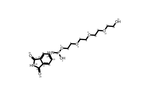 NP(O)OCCOCCOCCOCCO.O=C1NC(=O)c2ccccc21